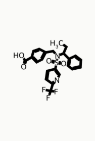 CCC(c1ccccc1)N(Cc1ccc(C(=O)O)cc1)S(=O)(=O)c1ccc(C(F)(F)F)nc1